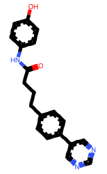 O=C(CCCc1ccc(-c2cncnc2)cc1)Nc1ccc(O)cc1